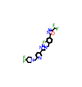 Fc1cc(-c2nnc(C(F)F)o2)ccc1Cn1cc(-c2ccc(CN3CCC(F)(F)CC3)nc2)nn1